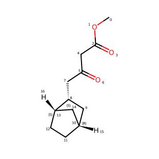 COC(=O)CC(=O)C[C@@H]1C[C@@H]2CC[C@H]1C2